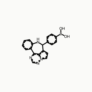 OB(O)c1ccc(C2Nc3ccccc3-c3ncnn4ccc2c34)cc1